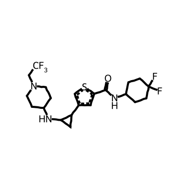 O=C(NC1CCC(F)(F)CC1)c1cc(C2CC2NC2CCN(CC(F)(F)F)CC2)cs1